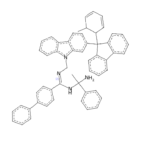 CC1C=CC=CC1C1(c2ccc3c4ccccc4n(C/N=C(\NC(C)(N)c4ccccc4)c4ccc(-c5ccccc5)cc4)c3c2)c2ccccc2-c2ccccc21